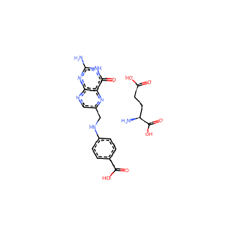 N[C@@H](CCC(=O)O)C(=O)O.Nc1nc2ncc(CNc3ccc(C(=O)O)cc3)nc2c(=O)[nH]1